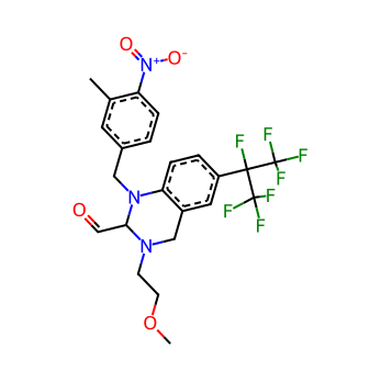 COCCN1Cc2cc(C(F)(C(F)(F)F)C(F)(F)F)ccc2N(Cc2ccc([N+](=O)[O-])c(C)c2)C1C=O